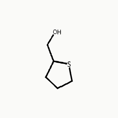 OCC1CCCS1